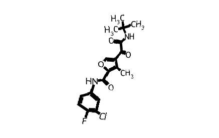 Cc1c(C(=O)C(=O)NC(C)(C)C)coc1C(=O)Nc1ccc(F)c(Cl)c1